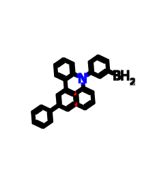 Bc1cccc(N(c2ccccc2)c2ccccc2-c2cccc(-c3ccccc3)c2)c1